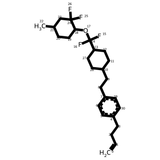 C=CCCc1ccc(CCC2CCC(C(F)(F)OC3CCC(C)CC3(F)F)CC2)cc1